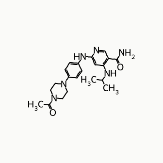 CC(=O)N1CCN(c2ccc(Nc3cc(NC(C)C)c(C(N)=O)cn3)cc2)CC1